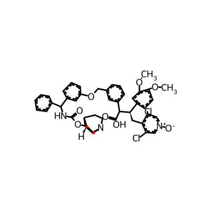 COc1ccc([C@@H](Cc2c(Cl)c[n+]([O-])cc2Cl)C(C(=O)O)c2cccc(COc3cccc(C(NC(=O)O[C@H]4CN5CCC4CC5)c4ccccc4)c3)c2)cc1OC